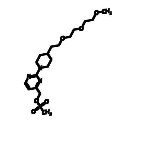 COCCOCCOCCC1CCN(c2nccc(COS(C)(=O)=O)n2)CC1